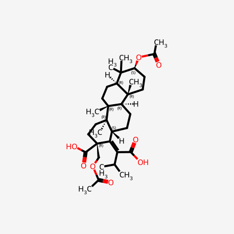 CC(=O)OC[C@@]1(C(=O)O)CC[C@]2(C)[C@H](CC[C@@H]3[C@@]4(C)CC[C@H](OC(C)=O)C(C)(C)[C@@H]4CC[C@]32C)C1=C(C(=O)O)C(C)C